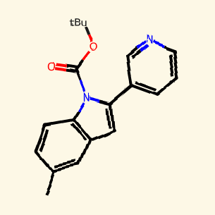 Cc1ccc2c(c1)cc(-c1cccnc1)n2C(=O)OC(C)(C)C